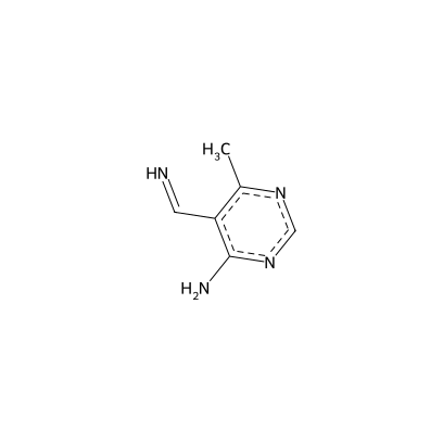 Cc1ncnc(N)c1C=N